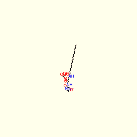 CCC=CCC=CCC=CCC=CCC=CCC=CCCC(=O)NCCC(CCNC(=O)c1c[n+]([O-])c(C)cn1)C(=O)OCC(CO)CO